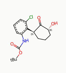 CC(C)(C)OC(=O)Nc1cccc(Cl)c1[C@@H]1CCC[C@@H](O)C1=O